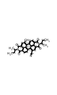 CCC(C)N1C(=O)c2ccc3c4c(C#N)cc5c6c(ccc(c7c(C)cc(c2c37)C1=O)c64)C(=O)N(C(C)CC)C5=O